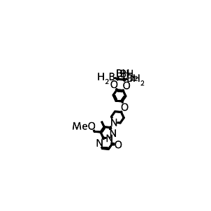 BC1(B)Oc2ccc(OC3CCN(c4nn5c(=O)ccnc5c(COC)c4C)CC3)cc2OC1(B)B